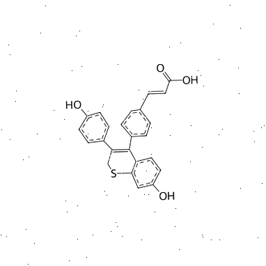 O=C(O)C=Cc1ccc(C2=C(c3ccc(O)cc3)CSc3cc(O)ccc32)cc1